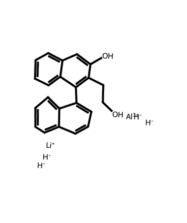 OCCc1c(O)cc2ccccc2c1-c1cccc2ccccc12.[Al+3].[H-].[H-].[H-].[H-].[Li+]